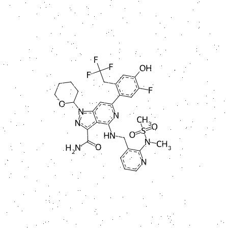 CN(c1ncccc1CNc1nc(-c2cc(F)c(O)cc2CC(F)(F)F)cc2c1c(C(N)=O)nn2C1CCCCO1)S(C)(=O)=O